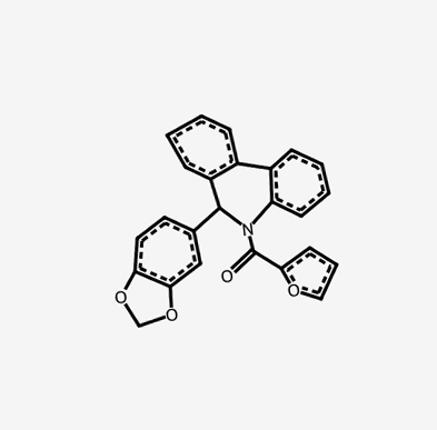 O=C(c1ccco1)N1c2ccccc2-c2ccccc2C1c1ccc2c(c1)OCO2